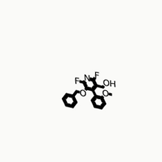 COc1ccccc1-c1c(CO)c(F)nc(F)c1OCc1ccccc1